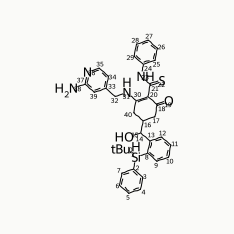 CC(C)(C)[SiH](c1ccccc1)c1ccccc1C(O)C1CC(=O)C(C(=S)Nc2ccccc2)=C(NCc2ccnc(N)c2)C1